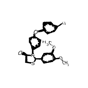 COc1ccc(C2SCC(=O)N2c2ccc(Oc3ccc(Cl)cc3)cc2)cc1OC